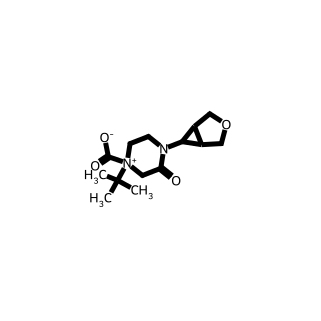 CC(C)(C)[N+]1(C(=O)[O-])CCN(C2C3COCC32)C(=O)C1